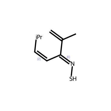 C=C(C)C(/C=C\C(C)C)=N/S